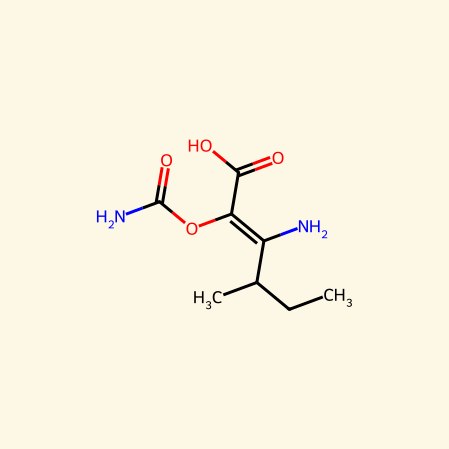 CCC(C)C(N)=C(OC(N)=O)C(=O)O